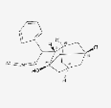 [N-]=[N+]=NC(c1ccccc1)[C@@H]1[C@@H]2C[C@H]3C[C@@](Cl)(C2)C[C@]1(O)C3